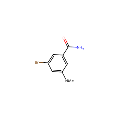 CNc1cc(Br)cc(C(N)=O)c1